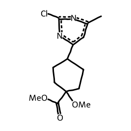 COC(=O)C1(OC)CCC(c2cc(C)nc(Cl)n2)CC1